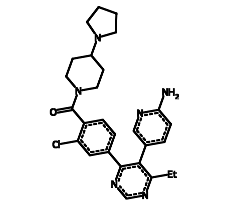 CCc1ncnc(-c2ccc(C(=O)N3CCC(N4CCCC4)CC3)c(Cl)c2)c1-c1ccc(N)nc1